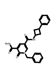 CNC(=O)c1cc(C(=O)NC2CC(c3ccccc3)C2)cn(Cc2ccccc2)c1=O